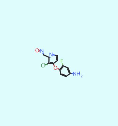 Nc1ccc(Oc2ccnc(CN=O)c2Cl)c(F)c1